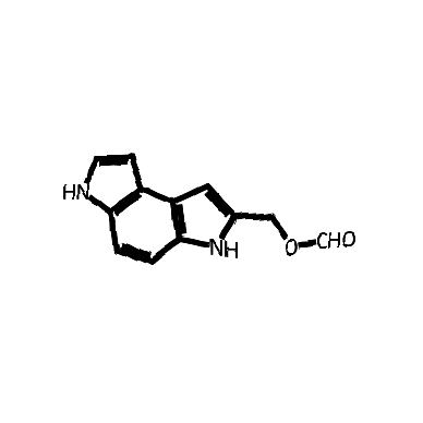 O=COCc1cc2c(ccc3[nH]ccc32)[nH]1